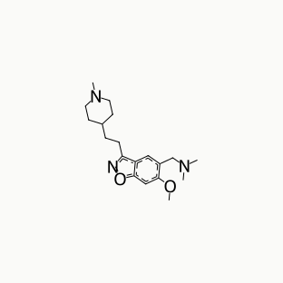 COc1cc2onc(CCC3CCN(C)CC3)c2cc1CN(C)C